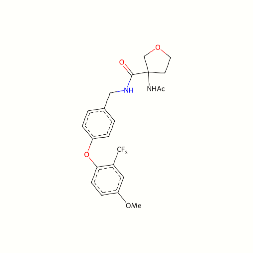 COc1ccc(Oc2ccc(CNC(=O)C3(NC(C)=O)CCOC3)cc2)c(C(F)(F)F)c1